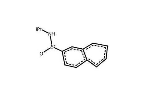 CC(C)N[S+]([O-])c1ccc2ccccc2c1